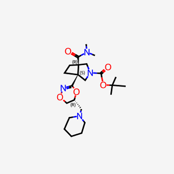 CN(C)C(=O)[C@]12CC[C@@]1(C1=NOC[C@@H](CN3CCCCC3)O1)CN(C(=O)OC(C)(C)C)C2